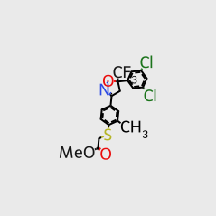 COC(=O)CSc1ccc(C2=NOC(c3cc(Cl)cc(Cl)c3)(C(F)(F)F)C2)cc1C